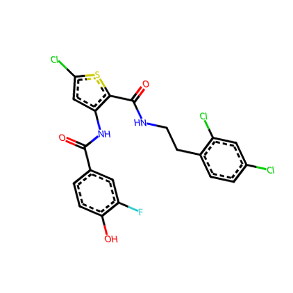 O=C(Nc1cc(Cl)sc1C(=O)NCCc1ccc(Cl)cc1Cl)c1ccc(O)c(F)c1